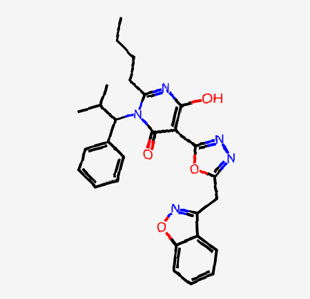 CCCCc1nc(O)c(-c2nnc(Cc3noc4ccccc34)o2)c(=O)n1C(c1ccccc1)C(C)C